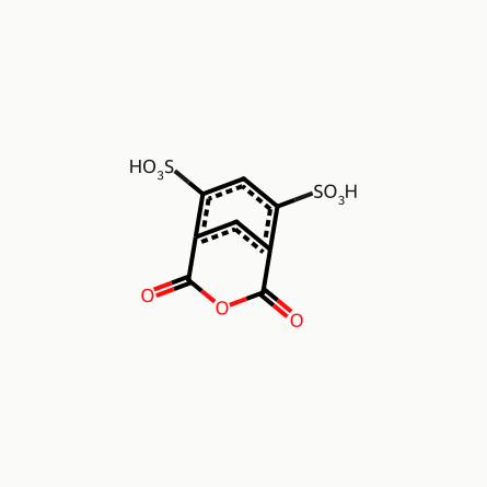 O=C1OC(=O)c2cc1c(S(=O)(=O)O)cc2S(=O)(=O)O